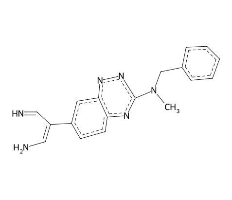 CN(Cc1ccccc1)c1nnc2cc(/C(C=N)=C/N)ccc2n1